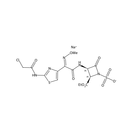 CCOC(=O)[C@H]1[C@@H](NC(=O)C(=NOC)c2csc(NC(=O)CCl)n2)C(=O)N1S(=O)(=O)[O-].[Na+]